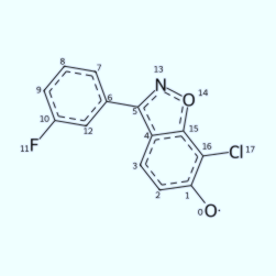 [O]c1ccc2c(-c3cccc(F)c3)noc2c1Cl